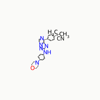 CC(C)(C#N)c1ccc(-c2nccn3nc(Nc4ccc(N5CCOCC5)cc4)nc23)cc1